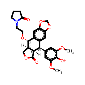 COc1cc([C@@H]2c3cc4c(cc3[C@@H](OCCN3CCCC3=O)[C@@H]3COC(=O)[C@H]23)OCO4)cc(OC)c1O